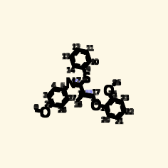 COc1ccc(/N=C(Sc2ccccc2)\C(C)=C\Oc2ccccc2OC)cc1